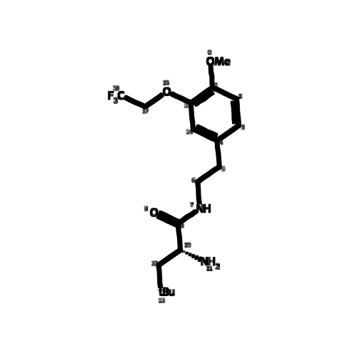 COc1ccc(CCNC(=O)[C@H](N)CC(C)(C)C)cc1OCC(F)(F)F